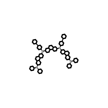 c1ccc(-c2ccc(N(c3ccc4c(ccc5cc(N(c6ccccc6)c6ccccc6)ccc54)c3)c3ccc4c(ccc5cc(N(c6ccc(-c7ccccc7)cc6)c6ccc7c(ccc8cc(N(c9ccccc9)c9ccccc9)ccc87)c6)ccc54)c3)cc2)cc1